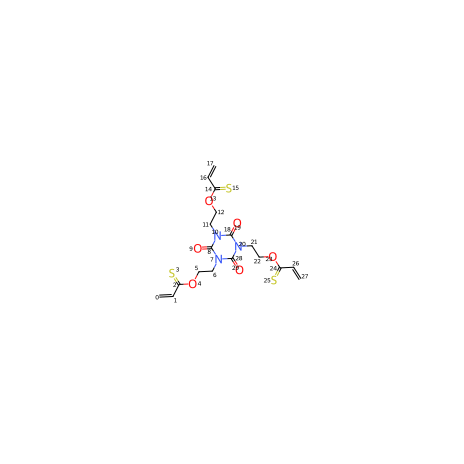 C=CC(=S)OCCn1c(=O)n(CCOC(=S)C=C)c(=O)n(CCOC(=S)C=C)c1=O